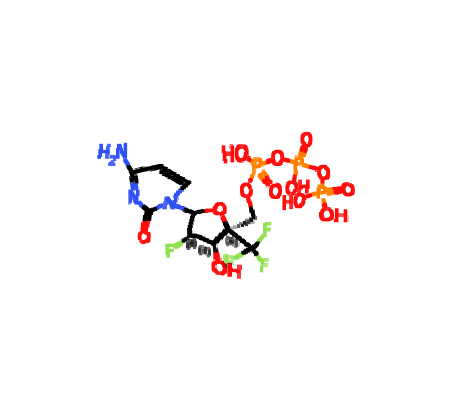 Nc1ccn(C2O[C@@](COP(=O)(O)OP(=O)(O)OP(=O)(O)O)(C(F)(F)F)[C@@H](O)[C@H]2F)c(=O)n1